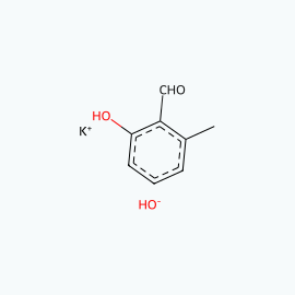 Cc1cccc(O)c1C=O.[K+].[OH-]